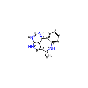 CC1Nc2ccccc2-c2ncnc3[nH]cc1c23